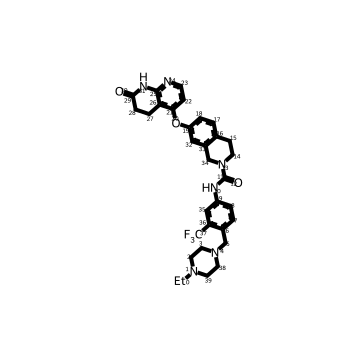 CCN1CCN(Cc2ccc(NC(=O)N3CCc4ccc(Oc5ccnc6c5CCC(=O)N6)cc4C3)cc2C(F)(F)F)CC1